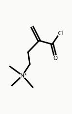 C=C(CC[N+](C)(C)C)C(=O)Cl